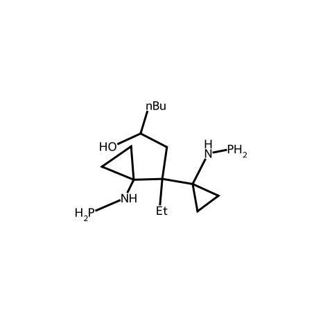 CCCCC(O)CC(CC)(C1(NP)CC1)C1(NP)CC1